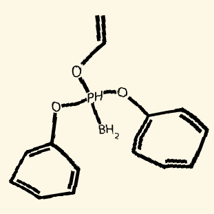 B[PH](OC=C)(Oc1ccccc1)Oc1ccccc1